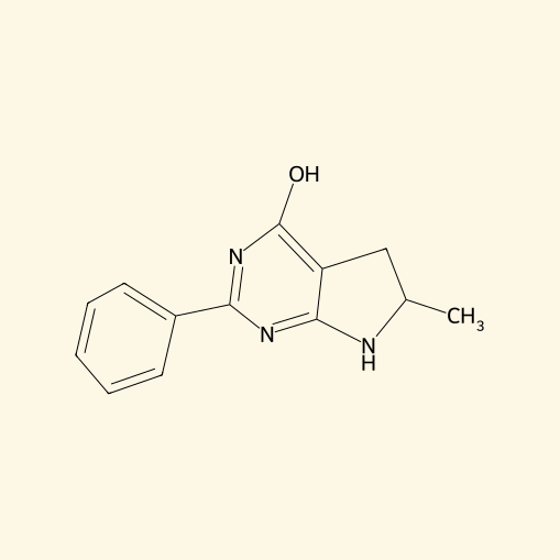 CC1Cc2c(O)nc(-c3ccccc3)nc2N1